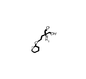 NC(C=O)(CO)CCOC1CCCCO1